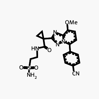 COc1ccc(-c2ccc(C#N)cc2)n2nc(C3(C(=O)NCCS(N)(=O)=O)CC3)nc12